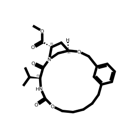 COC(=O)[C@@H]1C[C@@H]2CN1C(=O)[C@H](C(C)C)NC(=O)OCCCCCc1cccc(c1)CO2